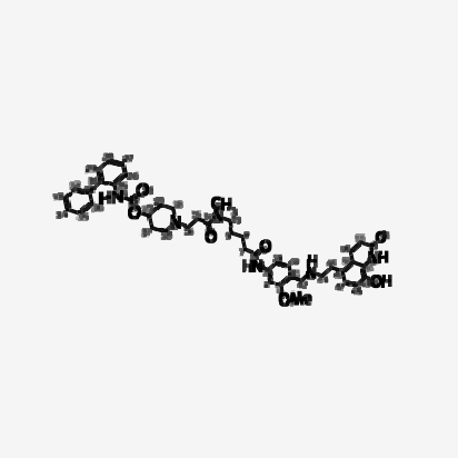 COc1cc(NC(=O)CCCCN(C)C(=O)CCN2CCC(OC(=O)Nc3ccccc3-c3ccccc3)CC2)ccc1CNCCc1ccc(O)c2[nH]c(=O)ccc12